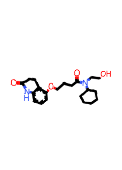 O=C1CCc2c(cccc2OCCCC(=O)N(CCO)C2CCCCC2)N1